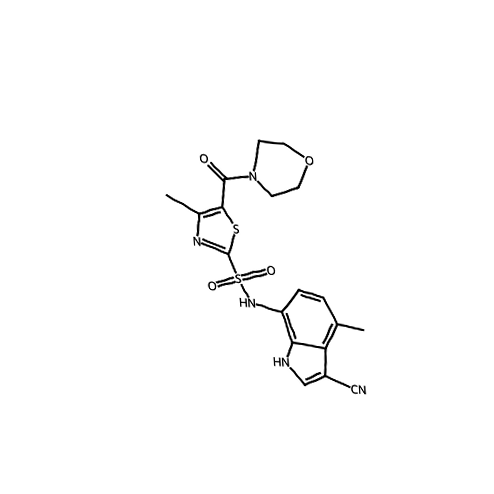 Cc1nc(S(=O)(=O)Nc2ccc(C)c3c(C#N)c[nH]c23)sc1C(=O)N1CCOCC1